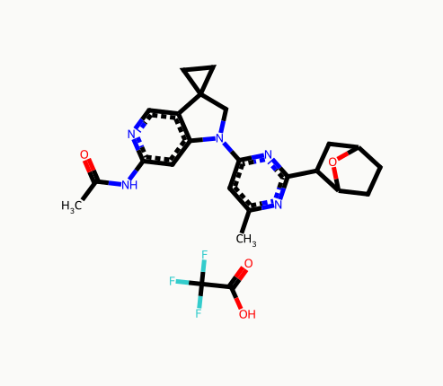 CC(=O)Nc1cc2c(cn1)C1(CC1)CN2c1cc(C)nc(C2CC3CCC2O3)n1.O=C(O)C(F)(F)F